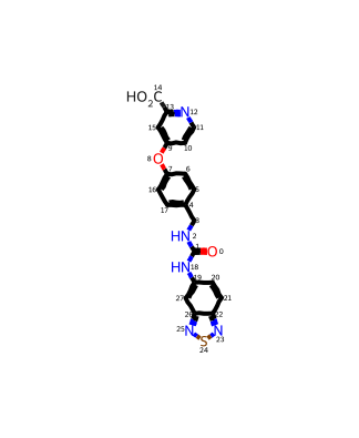 O=C(NCc1ccc(Oc2ccnc(C(=O)O)c2)cc1)Nc1ccc2nsnc2c1